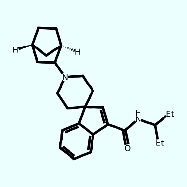 CCC(CC)NC(=O)C1=CC2(CCN(C3C[C@@H]4CC[C@@H]3C4)CC2)c2ccccc21